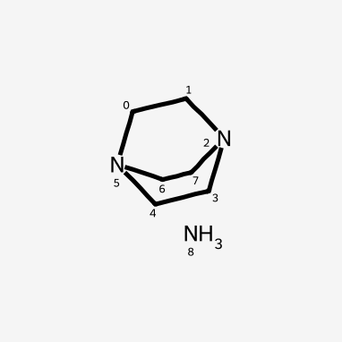 C1CN2CCN1CC2.N